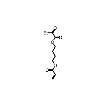 C=CC(=O)OCCCCOC(=O)C(=O)CC